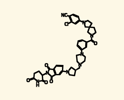 N#Cc1ccc(N2CCC3(CCN(C(=O)c4cccc(N5CCN(C[C@H]6CCN(c7ccc8c(c7)C(=O)N(C7CCC(=O)NC7=O)C8=O)C6)CC5)c4)C3)C2)cc1Cl